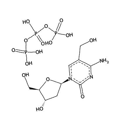 Nc1nc(=O)n([C@H]2C[C@H](O)[C@@H](CO)O2)cc1CO.O=P(O)(O)OP(=O)(O)OP(=O)(O)O